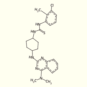 Cc1c(Cl)cccc1NC(=S)NC1CCC(Nc2nc(N(C)C)c3ccccc3n2)CC1